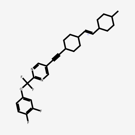 CC1CCC(/C=C/C2CCC(C#Cc3cnc(C(F)(F)Oc4ccc(F)c(F)c4)nc3)CC2)CC1